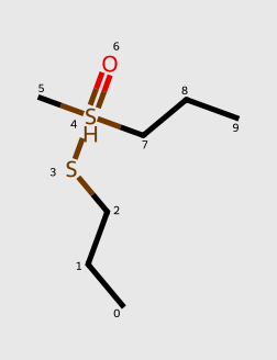 CCCS[SH](C)(=O)CCC